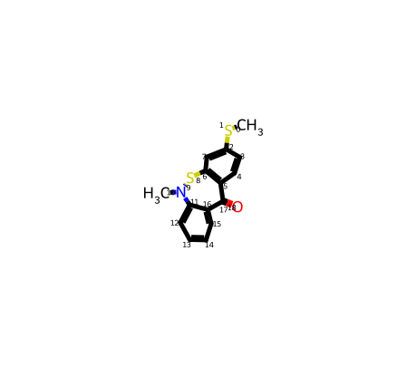 CSc1ccc2c(c1)SN(C)c1ccccc1C2=O